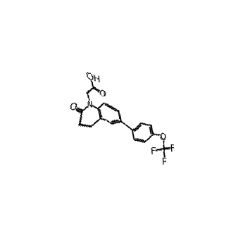 O=C(O)CN1C(=O)CCc2cc(-c3ccc(OC(F)(F)F)cc3)ccc21